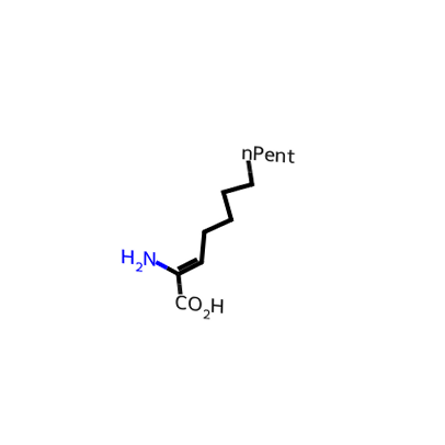 CCCCCCCCCC=C(N)C(=O)O